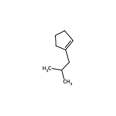 CC(C)CC1=CCCC1